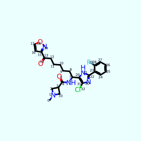 CN1CC(C(=O)NC(CCCCCC(=O)c2ccon2)c2[nH]c(-c3ccccc3F)nc2Cl)C1